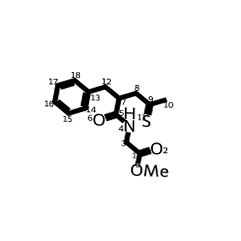 COC(=O)CNC(=O)C(CC(C)=S)Cc1ccccc1